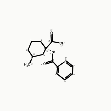 C[C@H]1CCC[C@@](NC(=O)c2ccccn2)(C(=O)O)C1